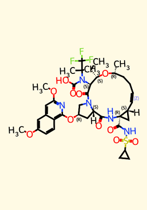 CC[C@@H]1O[C@H](C)CC/C=C\[C@@H]2C[C@@]2(C(=O)NS(=O)(=O)C2CC2)NC(=O)[C@@H]2C[C@@H](Oc3nc(OC)cc4cc(OC)ccc34)CN2C(=O)[C@H]1N(C(=O)O)C(C)(C)C(F)(F)F